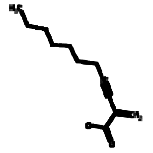 C=C(C#[N+]CCCCCCC)C(=O)[O-]